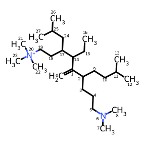 C=C(C(CCCN(C)C)CCC(C)C)C(CC)C(CC[N+](C)(C)C)CC(C)C